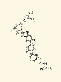 CC(=N)NCC[C@@H]1CCC[C@@H](c2ccc(-n3cc4cc(-c5cc(CCC[C@@H](N)CF)cc(C(F)(F)F)c5F)[nH]c4nc3=O)cc2F)N1